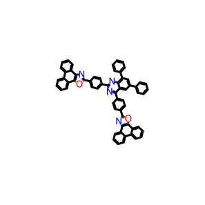 c1ccc(-c2cc(-c3ccccc3)c3nc(-c4ccc(-c5nc6c7ccccc7c7ccccc7c6o5)cc4)nc(-c4ccc(-c5nc6c7ccccc7c7ccccc7c6o5)cc4)c3c2)cc1